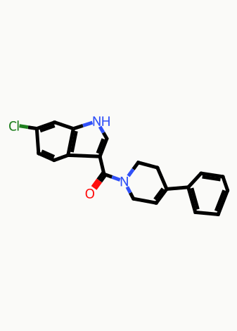 O=C(c1c[nH]c2cc(Cl)ccc12)N1CC=C(c2ccccc2)CC1